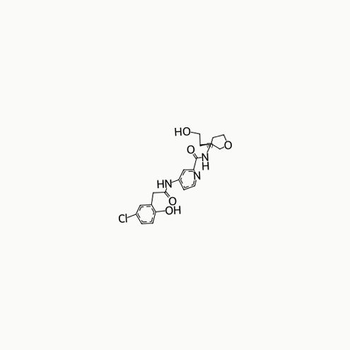 O=C(Cc1cc(Cl)ccc1O)Nc1ccnc(C(=O)N[C@]2(CCO)CCOC2)c1